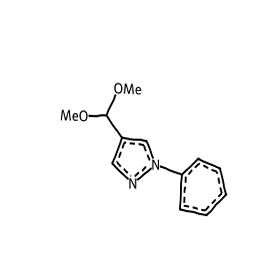 COC(OC)c1cnn(-c2ccccc2)c1